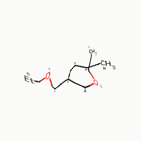 CCOCC1COC(C)(C)C1